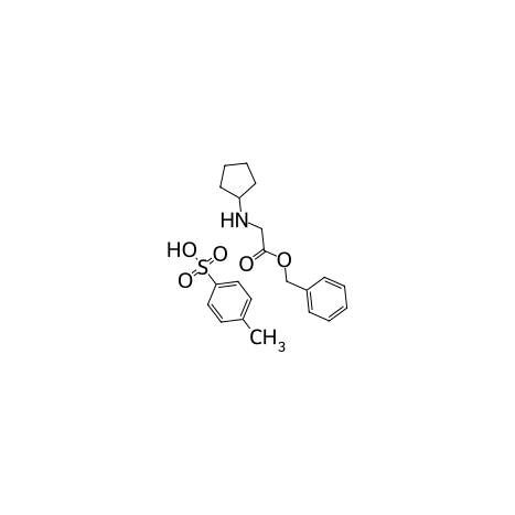 Cc1ccc(S(=O)(=O)O)cc1.O=C(CNC1CCCC1)OCc1ccccc1